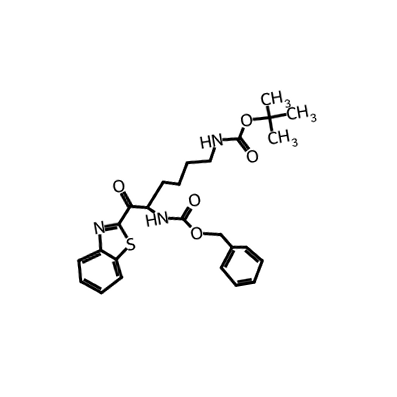 CC(C)(C)OC(=O)NCCCCC(NC(=O)OCc1ccccc1)C(=O)c1nc2ccccc2s1